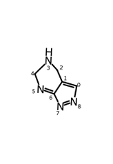 C1=C2CNCN=C2N=N1